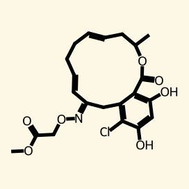 COC(=O)CO/N=C1\C=C\CC/C=C/CC(C)OC(=O)c2c(O)cc(O)c(Cl)c2C1